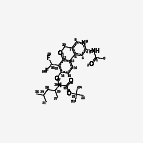 CC(=O)Nc1cc2c(cn1)COc1c-2ccc(ON(C(=O)OC(C)(C)C)C(C)CC(C)C)c1C(F)F